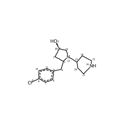 O[C@@H]1CC(Cc2ccc(Cl)cc2)N(C2CCNCC2)C1